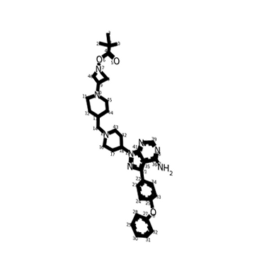 CC(C)(C)C(=O)ON1CC(N2CCC(CN3CCC(n4nc(-c5ccc(Oc6ccccc6)cc5)c5c(N)ncnc54)CC3)CC2)C1